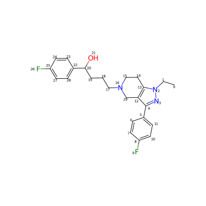 CCn1nc(-c2ccc(F)cc2)c2c1CCN(CCCC(O)c1ccc(F)cc1)C2